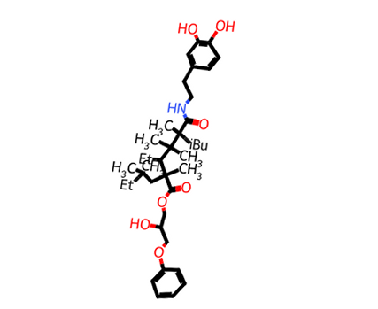 CCC(C(C)(CC(C)(C)CC)C(=O)OCC(O)COc1ccccc1)C(C)(C)C(C)(C(=O)NCCc1ccc(O)c(O)c1)C(C)CC